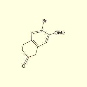 COc1cc2c(cc1Br)CCC(=O)C2